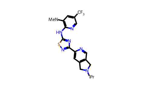 CNc1cc(C(F)(F)F)cnc1Nc1nc(-c2cc3c(cn2)CN(C(C)C)C3)ns1